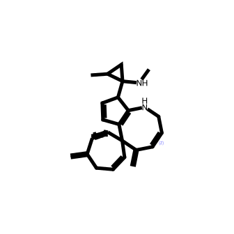 C=C1CC=CC2(C(=C)/C=C\CNC3=C2C=CC3C2(NC)CC2C)c2ccccc21